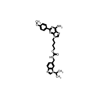 COc1ccc(-c2nc(N)c3ncn(CCCCOC(=O)NCc4ccc5ncn(C(C)C)c5c4)c3n2)cc1